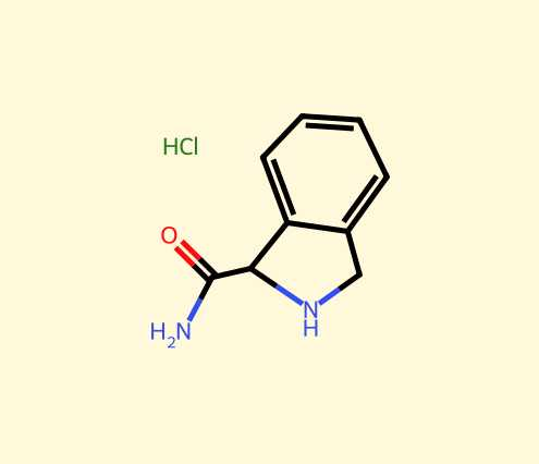 Cl.NC(=O)C1NCc2ccccc21